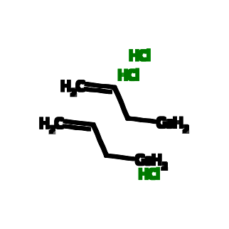 C=C[CH2][GaH2].C=C[CH2][GaH2].Cl.Cl.Cl